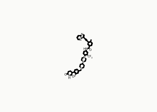 Cc1ccc(C(=O)Nc2ccc(N3CCN(C4CCN(Cc5ccc(C6CCC(=O)NC6=O)c(F)c5)CC4)CC3)c(C(F)(F)F)c2)cc1C#Cc1cnc2cccnn12